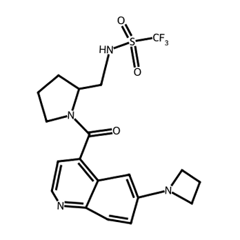 O=C(c1ccnc2ccc(N3CCC3)cc12)N1CCCC1CNS(=O)(=O)C(F)(F)F